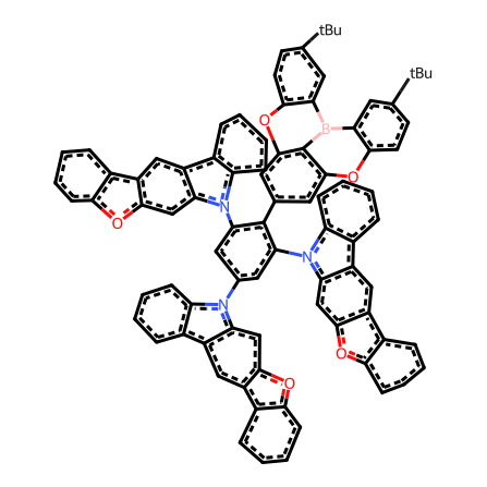 CC(C)(C)c1ccc2c(c1)B1c3cc(C(C)(C)C)ccc3Oc3cc(-c4c(-n5c6ccccc6c6cc7c(cc65)oc5ccccc57)cc(-n5c6ccccc6c6cc7c(cc65)oc5ccccc57)cc4-n4c5ccccc5c5cc6c(cc54)oc4ccccc46)cc(c31)O2